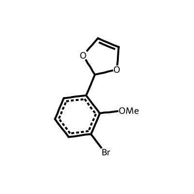 COc1c(Br)cccc1C1OC=CO1